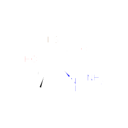 C[C@@H](O)[C@H](NN)C(=O)S